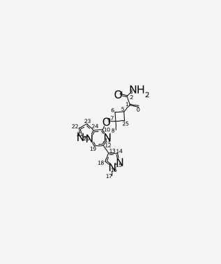 C=C(C(N)=O)C1CC(C)(Oc2nc(-c3cnn(C)c3)cn3nccc23)C1